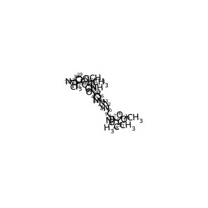 CCOC(=O)C(c1cc(CCN2CCN(c3ccc(C(=O)N[C@H]4C(C)(C)[C@H](Oc5ccc(C#N)c(Cl)c5)C4(C)C)cn3)CC2)no1)C(C)C